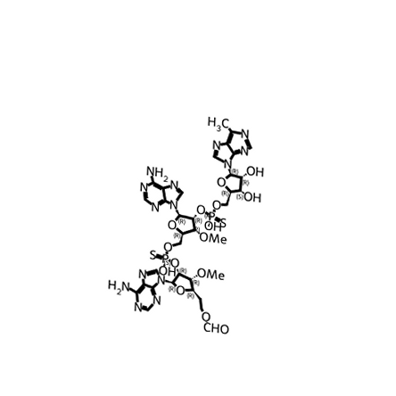 CO[C@H]1[C@@H](O[P@@](O)(=S)OC[C@H]2O[C@@H](n3cnc4c(N)ncnc43)[C@H](O[P@](O)(=S)OC[C@H]3O[C@@H](n4cnc5c(C)ncnc54)[C@H](O)[C@@H]3O)[C@@H]2OC)[C@H](n2cnc3c(N)ncnc32)O[C@@H]1CCOC=O